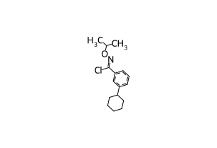 CC(C)ON=C(Cl)c1cccc(C2CCCCC2)c1